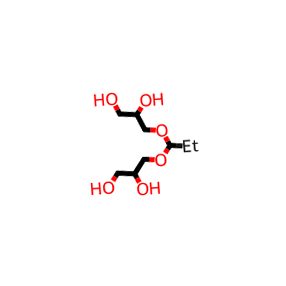 CCC(OCC(O)CO)OCC(O)CO